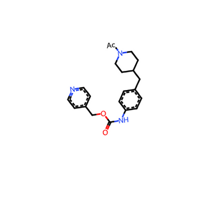 CC(=O)N1CCC(Cc2ccc(NC(=O)OCc3ccncc3)cc2)CC1